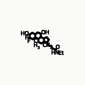 CCNC(=O)CCCC1CCC2C3C(O)CC4CC(O)C(F)(F)CC4(C)C3CCC12C